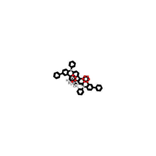 C[Si](C)(C)C1([Si](C)(C)C)c2cc(N(c3ccccc3)c3ccc(-c4ccccc4)cc3-c3ccccc3)ccc2-c2c1cc(N(c1ccccc1)c1ccc(-c3ccccc3)cc1-c1ccccc1)c1ccccc21